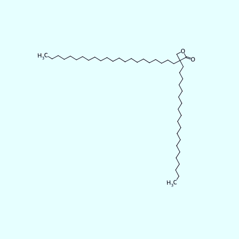 CCCCCCCCCCCCCCCCCCCCCCC1(CCCCCCCCCCCCCCCCCCCC)COC1=O